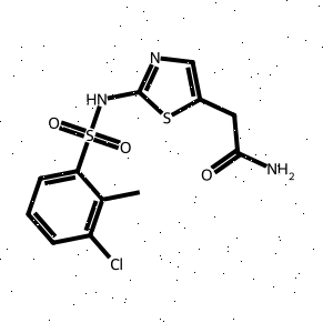 Cc1c(Cl)cccc1S(=O)(=O)Nc1ncc(CC(N)=O)s1